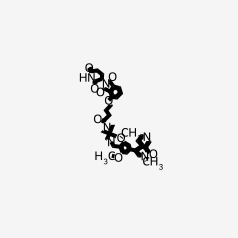 COc1cc(-c2cn(C)c(=O)c3cnccc23)cc(OC)c1CN1CC2(C1)CN(C(=O)CCCOc1cccc3c1C(=O)N(C1CCC(=O)NC1=O)C3=O)C2